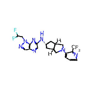 FC(F)Cn1ncc2ncc(N[C@@H]3C[C@@H]4CN(c5cccnc5C(F)(F)F)C[C@@H]4C3)nc21